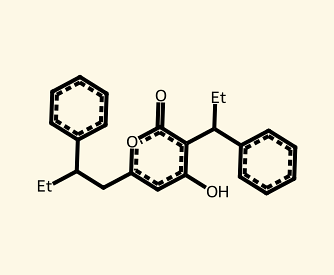 CCC(Cc1cc(O)c(C(CC)c2ccccc2)c(=O)o1)c1ccccc1